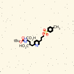 Cc1ccc(S(=O)(=O)OCCCc2ccc(C[C@@H](C[C@H](NC(=O)OC(C)(C)C)C(=O)O)C(=O)O)nc2)cc1